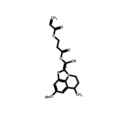 C=CC(=O)OCCC(=O)O/C(C#N)=C1\Sc2cc(OC)cc3c2N1CCC3C